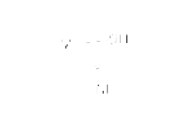 [Nb].[SiH3][Mo].[V]